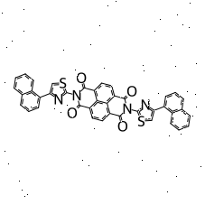 O=C1c2ccc3c4c(ccc(c24)C(=O)N1c1nc(-c2cccc4ccccc24)cs1)C(=O)N(c1nc(-c2cccc4ccccc24)cs1)C3=O